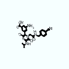 CC(C)Nc1nc(Cl)c(-c2cc(N)cc(C(=O)O)c2)n(CC(=O)NCc2ccc(C#N)cc2)c1=O